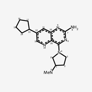 CNC1CCN(c2nc(N)nc3cc(C4CCCC4)cnc23)C1